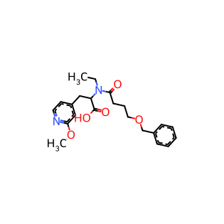 CCN(C(=O)CCCOCc1ccccc1)C(Cc1ccnc(OC)c1)C(=O)O